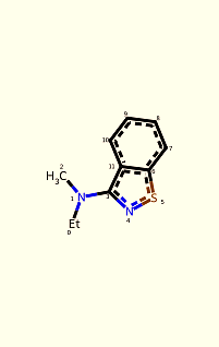 CCN(C)c1nsc2ccccc12